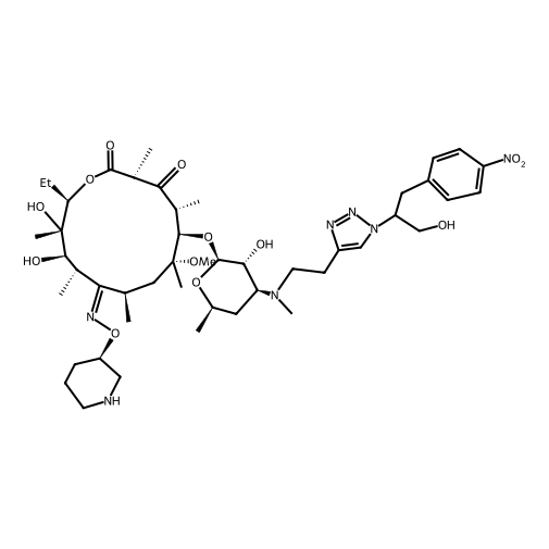 CC[C@H]1OC(=O)[C@H](C)C(=O)[C@H](C)[C@@H](O[C@@H]2O[C@H](C)C[C@H](N(C)CCc3cn(C(CO)Cc4ccc([N+](=O)[O-])cc4)nn3)[C@H]2O)[C@](C)(OC)C[C@@H](C)/C(=N\O[C@@H]2CCCNC2)[C@H](C)[C@@H](O)[C@]1(C)O